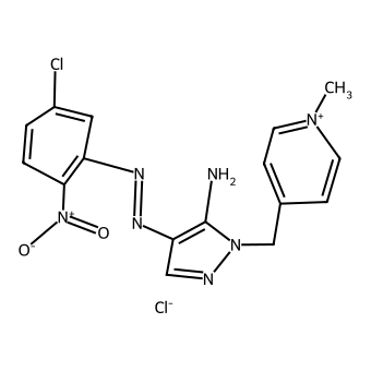 C[n+]1ccc(Cn2ncc(N=Nc3cc(Cl)ccc3[N+](=O)[O-])c2N)cc1.[Cl-]